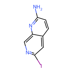 Nc1ccc2cc(I)ncc2n1